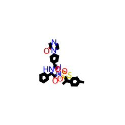 Cc1ccc2c(C)c(S(=O)(=O)NC(=O)C(NC(=O)c3ccc(-n4ccncc4=O)cc3)c3ccccc3)sc2c1